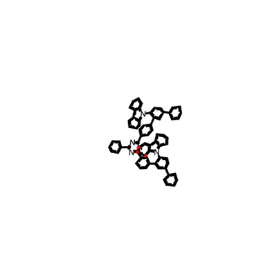 c1ccc(-c2ccc(-n3c4ccccc4c4ccccc43)c(-c3ccc(-c4nc(-c5ccccc5)nc(-c5cccc(-c6cc(-c7ccccc7)ccc6-n6c7ccccc7c7ccccc76)c5)n4)cc3)c2)cc1